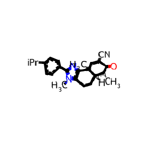 CC(C)c1ccc(-c2nc3c(n2C)CC[C@@H]2[C@@H](C)C(=O)C(C#N)=C[C@@]32C)cc1